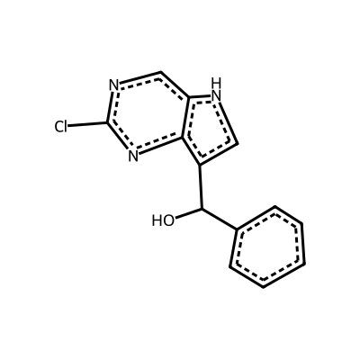 OC(c1ccccc1)c1c[nH]c2cnc(Cl)nc12